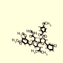 COc1ccc(S(=O)(=O)N(CCc2cccc(Cl)c2)CC(=O)N2C(CC(=O)NO)CN(Cc3cc(OC)cc(OC)c3)C[C@@H]2CC(C)C)cc1